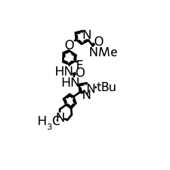 CNC(=O)c1cc(Oc2ccc(NC(=O)Nc3cn(C(C)(C)C)nc3-c3ccc4c(c3)CCN(C)C4)c(F)c2)ccn1